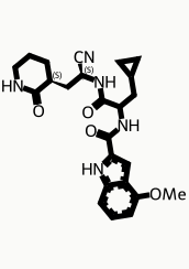 COc1cccc2[nH]c(C(=O)NC(CC3CC3)C(=O)N[C@H](C#N)C[C@@H]3CCCNC3=O)cc12